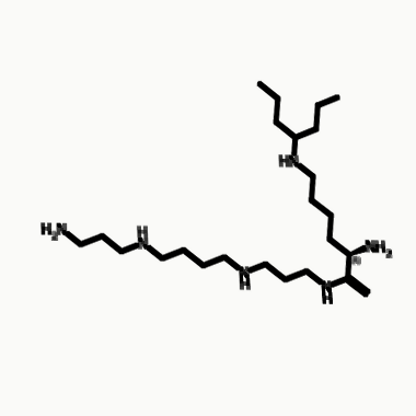 C=C(NCCCNCCCCNCCCN)[C@H](N)CCCCNC(CCC)CCC